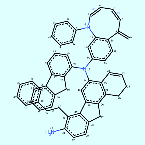 C=C1/C=C\C=C/N(c2ccccc2)c2cc(N(c3cc4c(c5c3C=CCC5)Cc3ccc(N)c(CCc5ccccc5)c3-4)c3cccc4c3Cc3ccccc3-4)ccc21